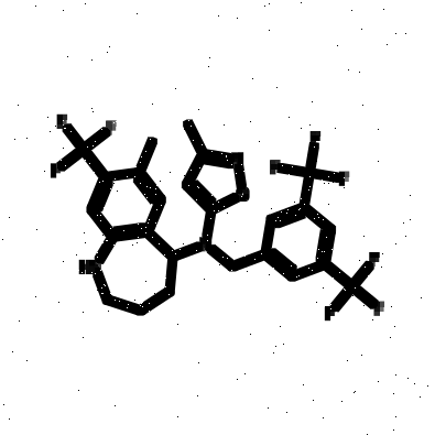 Cc1cc(N(Cc2cc(C(F)(F)F)cc(C(F)(F)F)c2)C2CCCNc3cc(C(F)(F)F)c(C)cc32)on1